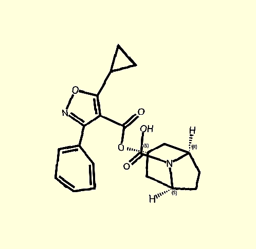 O=C(O[C@@H]1C[C@H]2CC[C@@H](C1)N2C(=O)O)c1c(-c2ccccc2)noc1C1CC1